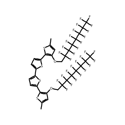 Cc1cc(OCC(F)(F)C(F)(F)C(F)(F)C(F)(F)C(F)(F)C(F)(F)C(F)(F)F)c(-c2ccc(-c3ccc(-c4sc(C)cc4OCC(F)(F)C(F)(F)C(F)(F)C(F)(F)C(F)(F)C(F)(F)C(F)(F)F)s3)s2)s1